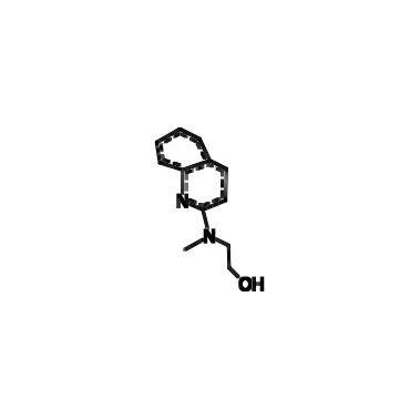 CN(CCO)c1ccc2ccccc2n1